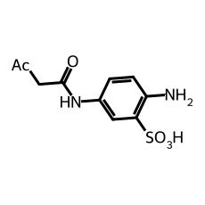 CC(=O)CC(=O)Nc1ccc(N)c(S(=O)(=O)O)c1